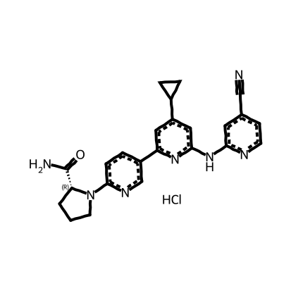 Cl.N#Cc1ccnc(Nc2cc(C3CC3)cc(-c3ccc(N4CCC[C@@H]4C(N)=O)nc3)n2)c1